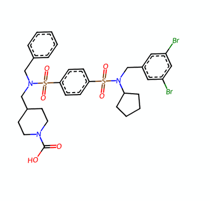 O=C(O)N1CCC(CN(Cc2ccccc2)S(=O)(=O)c2ccc(S(=O)(=O)N(Cc3cc(Br)cc(Br)c3)C3CCCC3)cc2)CC1